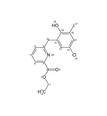 CCOC(=O)c1cccc(Cc2cc(Cl)cc(I)c2O)n1